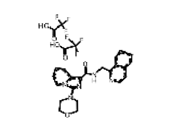 O=C(NCc1nccc2ccccc12)c1nc(N2CCOCC2)n2ccccc12.O=C(O)C(F)(F)F.O=C(O)C(F)(F)F